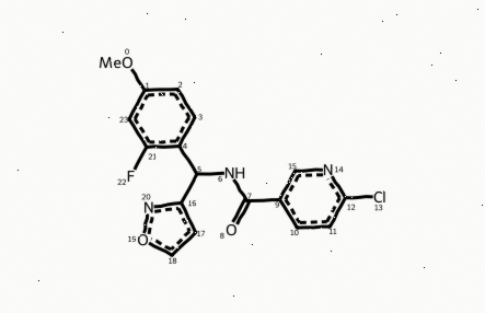 COc1ccc(C(NC(=O)c2ccc(Cl)nc2)c2ccon2)c(F)c1